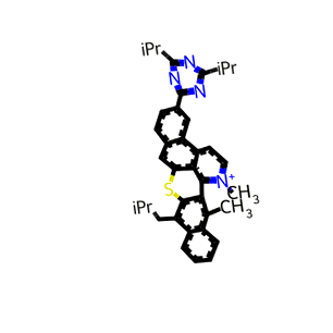 Cc1c2c(c(CC(C)C)c3ccccc13)Sc1cc3ccc(-c4nc(C(C)C)nc(C(C)C)n4)cc3c3cc[n+](C)c-2c13